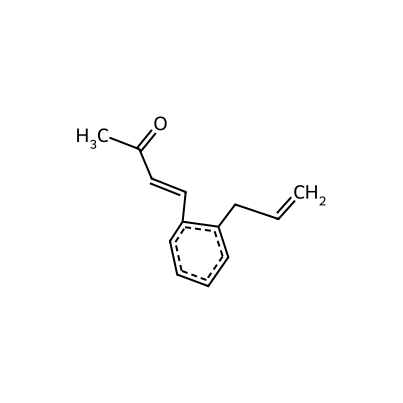 C=CCc1ccccc1C=CC(C)=O